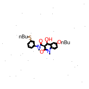 CCCCOc1ccc2c(c1)c(O)c(C(=O)N(C)c1cccc(SCCCC)c1)c(=O)n2C